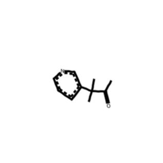 CC(=O)C(C)(C)c1cccnc1